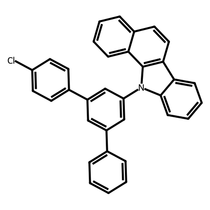 Clc1ccc(-c2cc(-c3ccccc3)cc(-n3c4ccccc4c4ccc5ccccc5c43)c2)cc1